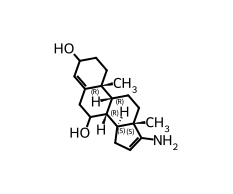 C[C@]12CCC(O)C=C1CC(O)[C@@H]1[C@H]2CC[C@]2(C)C(N)=CC[C@@H]12